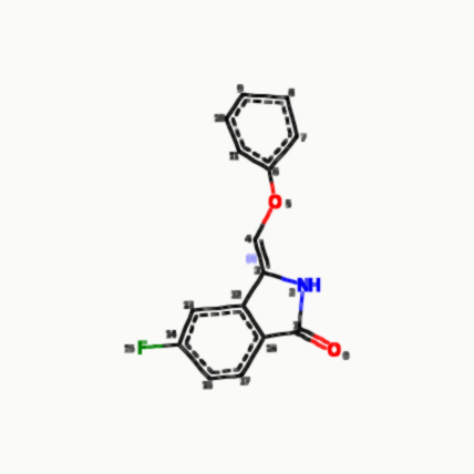 O=C1N/C(=C\Oc2ccccc2)c2cc(F)ccc21